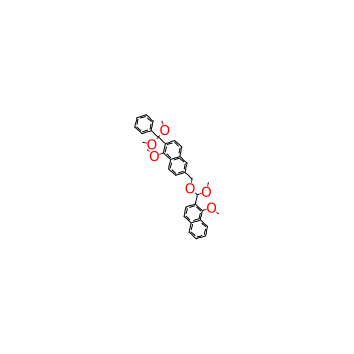 COc1c(C(OC)OCc2ccc3c(OC)c(C(OC)(OC)c4ccccc4)ccc3c2)ccc2ccccc12